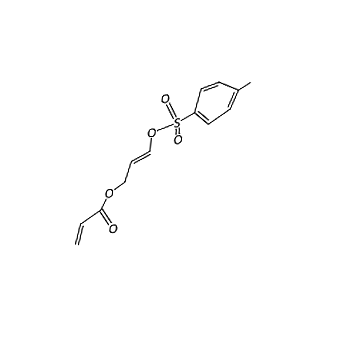 C=CC(=O)OCC=COS(=O)(=O)c1ccc(C)cc1